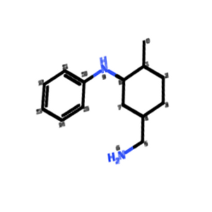 CC1CCC(CN)CC1Nc1ccccc1